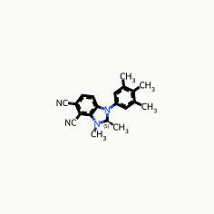 Cc1cc(N2c3ccc(C#N)c(C#N)c3N(C)[C@@H]2C)cc(C)c1C